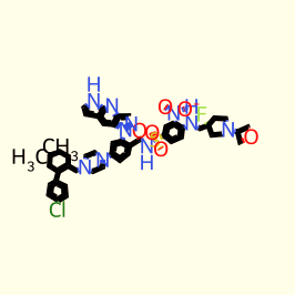 CC1(C)CCC(CN2CCN(c3ccc(C(=O)NS(=O)(=O)c4ccc(NCC5(F)CCN(C6COC6)CC5)c([N+](=O)[O-])c4)c(-n4ncc5nc6[nH]ccc6cc54)c3)CC2)=C(c2ccc(Cl)cc2)C1